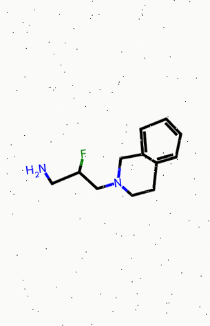 NCC(F)CN1CCc2ccccc2C1